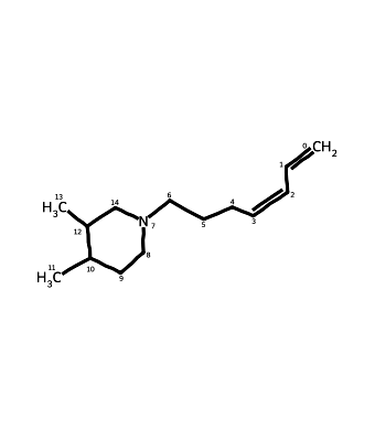 C=C/C=C\CCCN1CCC(C)C(C)C1